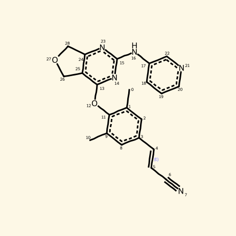 Cc1cc(/C=C/C#N)cc(C)c1Oc1nc(Nc2cccnc2)nc2c1COC2